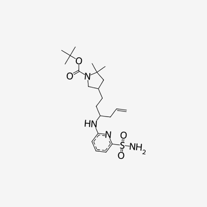 C=CCC(CCC1CN(C(=O)OC(C)(C)C)C(C)(C)C1)Nc1cccc(S(N)(=O)=O)n1